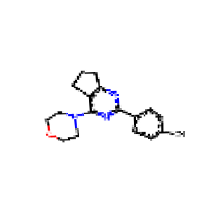 N#Cc1ccc(-c2nc3c(c(N4CCOCC4)n2)CCC3)cc1